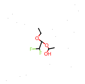 CCOC(OC(C)O)C(F)F